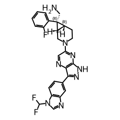 NC[C@]1(c2ccccc2F)[C@@H]2CCN(c3cnc4c(-c5ccc6c(c5)ncn6C(F)F)n[nH]c4n3)C[C@@H]21